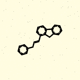 C(=Cc1cccc2c1Cc1ccccc1-2)Cc1ccccc1